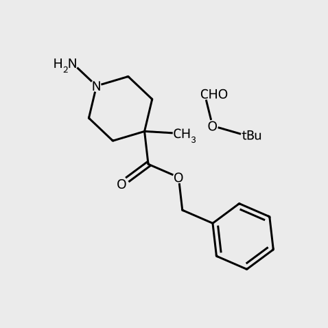 CC(C)(C)OC=O.CC1(C(=O)OCc2ccccc2)CCN(N)CC1